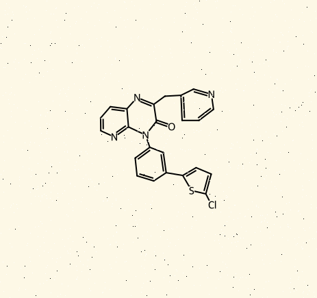 O=c1c(Cc2cccnc2)nc2cccnc2n1-c1cccc(-c2ccc(Cl)s2)c1